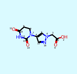 O=C(O)Cn1cc(N2CCC(=O)NC2=O)cn1